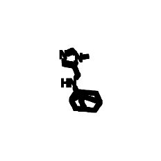 Cn1cncc1CNC1C2CC3CC(C2)CC1C3